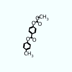 COC(=O)Oc1ccc(C(=O)Oc2ccc(C)cc2)cc1